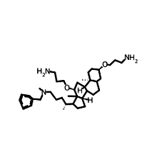 C[C@H](CCCN(C)Cc1ccccc1)C1CC[C@H]2C3CCC4C[C@H](OCCCN)CC[C@]4(C)[C@H]3C[C@H](OCCCN)C12C